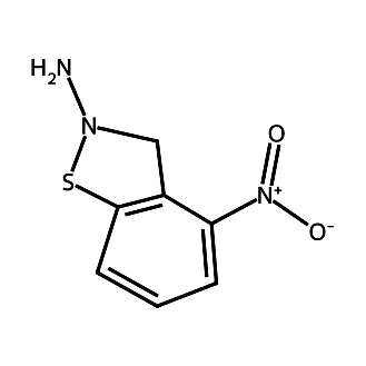 NN1Cc2c(cccc2[N+](=O)[O-])S1